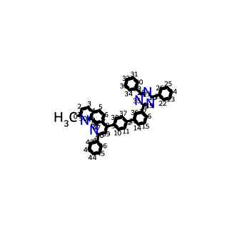 Cc1ccc2ccc3c(-c4ccc(-c5cccc(-c6nc(-c7ccccc7)nc(-c7ccccc7)n6)c5)cc4)cc(-c4ccccc4)nc3c2n1